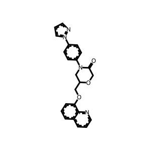 O=C1COC(COc2cccc3cccnc23)CN1c1ccc(-n2cccn2)cc1